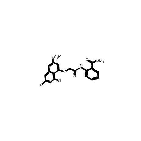 COC(=O)c1ccccc1NC(=O)COc1cc(C(=O)O)cc2cc(Cl)cc(Cl)c12